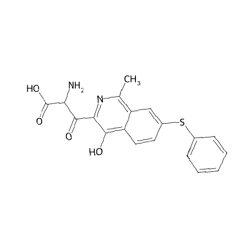 Cc1nc(C(=O)C(N)C(=O)O)c(O)c2ccc(Sc3ccccc3)cc12